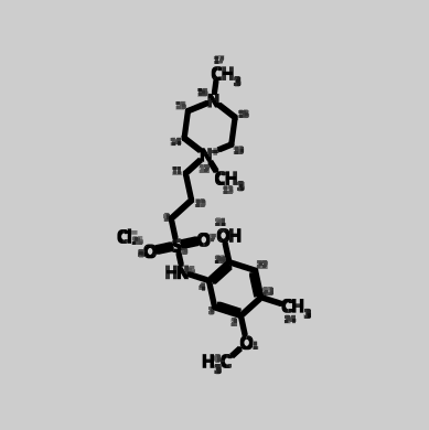 COc1cc(NS(=O)(=O)CCC[N+]2(C)CCN(C)CC2)c(O)cc1C.[Cl-]